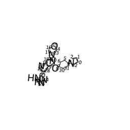 c1ccn([C@H]2CC[C@@H](Oc3nc(N4CCOCC4)cc4ncc(-c5nnn[nH]5)cc34)CC2)c1